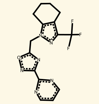 FC(F)(F)c1nn(Cc2nc(-c3ncccn3)no2)c2c1CCCC2